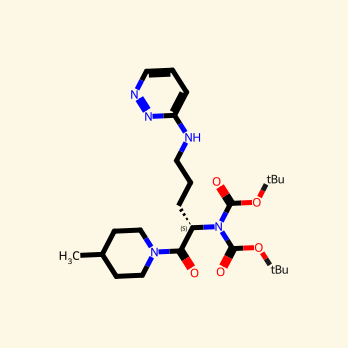 CC1CCN(C(=O)[C@H](CCCNc2cccnn2)N(C(=O)OC(C)(C)C)C(=O)OC(C)(C)C)CC1